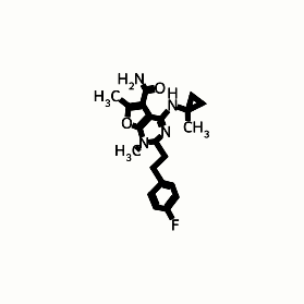 Cc1oc2c(c1C(N)=O)C(NC1(C)CC1)=NC(CCc1ccc(F)cc1)N2C